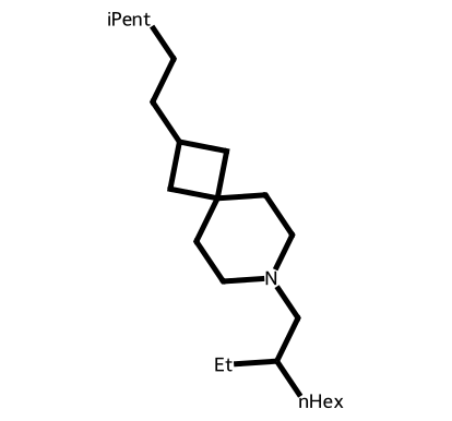 CCCCCCC(CC)CN1CCC2(CC1)CC(CCC(C)CCC)C2